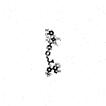 CCS(=O)(=O)c1ccc(OCC(CCCN2CCN(c3ncc(C(=O)NC4C(C)(C)C(Oc5ccc(C#N)c(Cl)c5)C4(C)C)cn3)CC2)C2CC2)c(-c2cn(C)c(=O)c3[nH]ccc23)c1